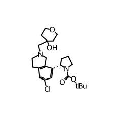 CC(C)(C)OC(=O)N1CCC[C@H]1c1cc(Cl)cc2c1CN(CC1(O)CCOCC1)CC2